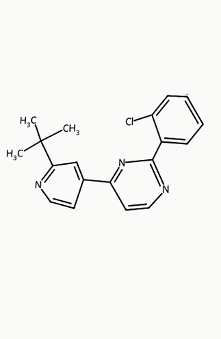 CC(C)(C)c1cc(-c2ccnc(-c3cc[c]cc3Cl)n2)ccn1